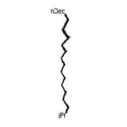 CCCCCCCCCCCCCCCCCCCCCCCC(C)C